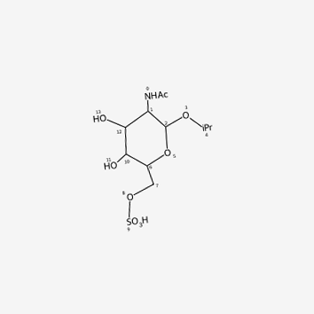 CC(=O)NC1C(OC(C)C)OC(COS(=O)(=O)O)C(O)C1O